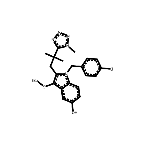 Cn1nnnc1C(C)(C)Cc1c(SC(C)(C)C)c2cc(O)ccc2n1Cc1ccc(Cl)cc1